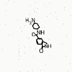 N[C@H]1CC[C@H](NC(=O)c2ccc3c(c2)CNC3=O)CC1